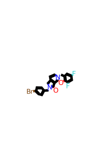 Cc1cc(F)cc(F)c1Oc1nccc2c1C(=O)N(Cc1ccc(Br)cc1)C2